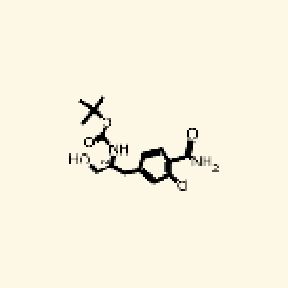 CC(C)(C)OC(=O)N[C@H](CO)Cc1ccc(C(N)=O)c(Cl)c1